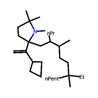 C=C(C1CCC1)C1(CC(CCC)C(C)CCC(C)(CC)CCCCC)CCC(C)(C)N1C